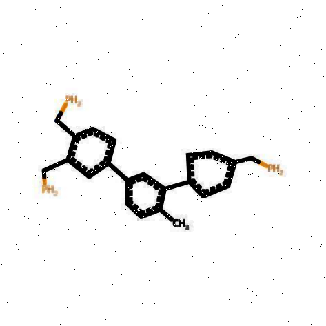 Cc1ccc(-c2ccc(CP)c(CP)c2)cc1-c1ccc(CP)cc1